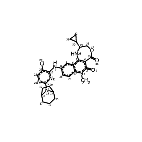 Cn1c(=O)c2c(c3cc(Nc4nc(N5C6CCCC5CC6)ncc4Cl)ccc31)N[C@@H](C1CC1)COC2=O